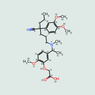 CCCC(C#N)(CCCN(C)C(C)c1ccc(OC)c(OCC(=O)O)c1)c1ccc(OC)c(OC)c1